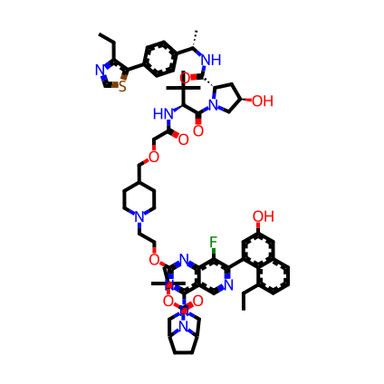 CCc1ncsc1-c1ccc([C@H](C)NC(=O)[C@@H]2C[C@@H](O)CN2C(=O)[C@@H](NC(=O)COCC2CCN(CCOc3nc(N4CC5CCC(C4)N5C(=O)OC(C)(C)C)c4cnc(-c5cc(O)cc6cccc(CC)c56)c(F)c4n3)CC2)C(C)(C)C)cc1